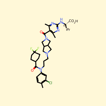 Cc1ccc(N(CCCN2CC3CN(C(=O)c4c(C)nc(N[C@H](C(=O)O)C(C)C)nc4C)CC3C2)C(=O)C2CCC(F)(F)CC2)cc1Cl